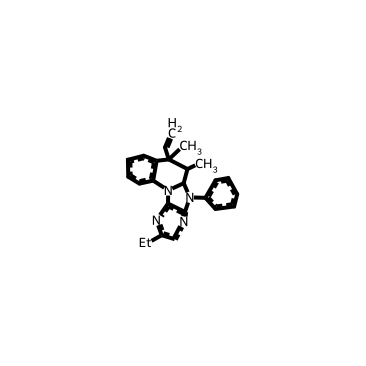 C=CC1(C)c2ccccc2N2c3nc(CC)cnc3N(c3ccccc3)C2C1C